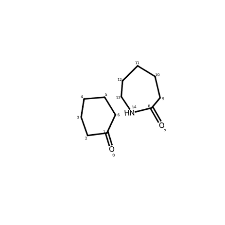 O=C1CCCCC1.O=C1CCCCCN1